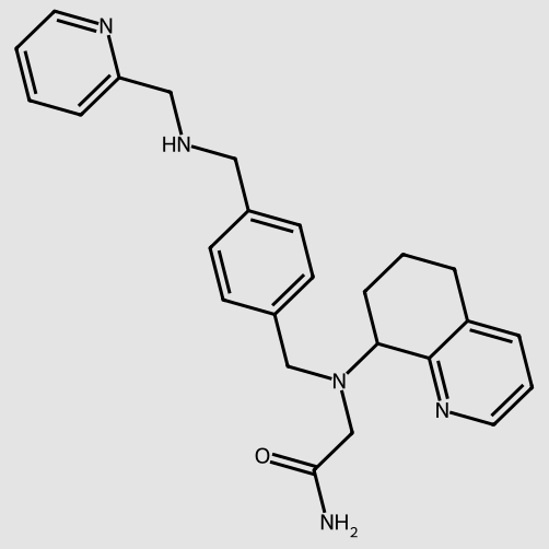 NC(=O)CN(Cc1ccc(CNCc2ccccn2)cc1)C1CCCc2cccnc21